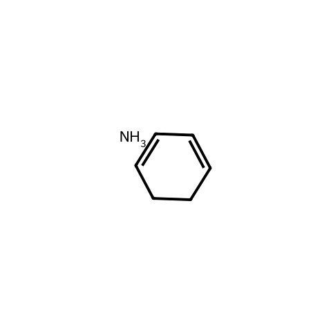 C1=CCCC=C1.N